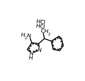 CC(c1ccccc1)c1n[nH]cc1N.Cl.Cl